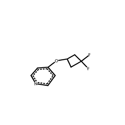 FC1(F)CC(Oc2ccncc2)C1